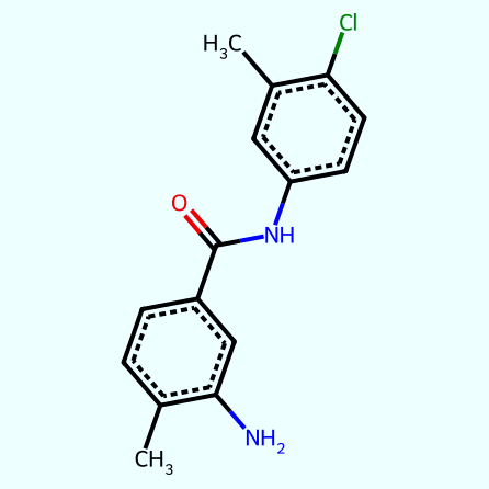 Cc1ccc(C(=O)Nc2ccc(Cl)c(C)c2)cc1N